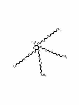 CCCCCCOCCOCCOC1O[C@H](CO)[C@@H](OCCOCCOCCCCCC)[C@H](OCCOCCOCCCCCC)[C@H]1OCCOCCOCCCCCC